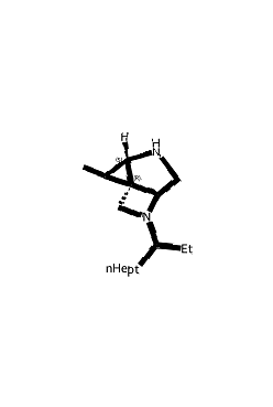 CCCCCCCC(CC)N1C[C@]23C(C)[C@@H]2NCC13